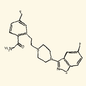 NC(=O)c1ccc(F)cc1CCN1CCN(c2nsc3ccc(F)cc23)CC1